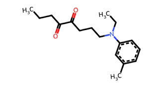 CCCC(=O)C(=O)CCCN(CC)c1cccc(C)c1